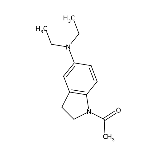 CCN(CC)c1ccc2c(c1)CCN2C(C)=O